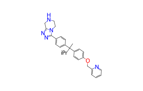 CC(C)C(C)(c1ccc(OCc2ccccn2)cc1)c1ccc(-c2nnc3n2CCNC3)cc1